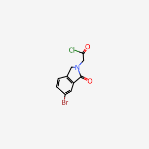 O=C(Cl)CN1Cc2ccc(Br)cc2C1=O